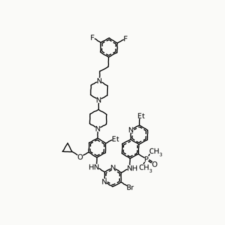 CCc1ccc2c(P(C)(C)=O)c(Nc3nc(Nc4cc(CC)c(N5CCC(N6CCN(CCc7cc(F)cc(F)c7)CC6)CC5)cc4OC4CC4)ncc3Br)ccc2n1